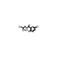 CCC(O)CNC(C)c1nc(Cl)ccc1F